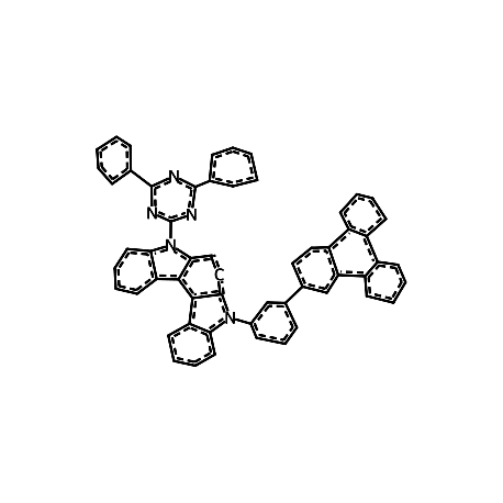 c1ccc(-c2nc(-c3ccccc3)nc(-n3c4ccccc4c4c5c6ccccc6n(-c6cccc(-c7ccc8c9ccccc9c9ccccc9c8c7)c6)c5ccc43)n2)cc1